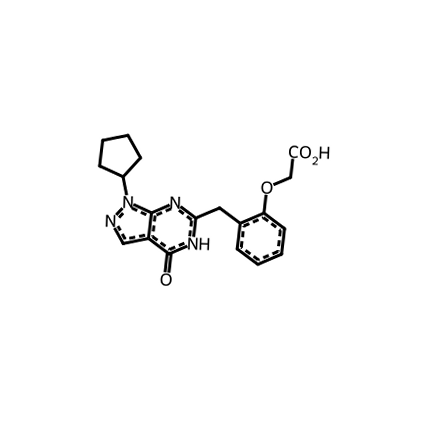 O=C(O)COc1ccccc1Cc1nc2c(cnn2C2CCCC2)c(=O)[nH]1